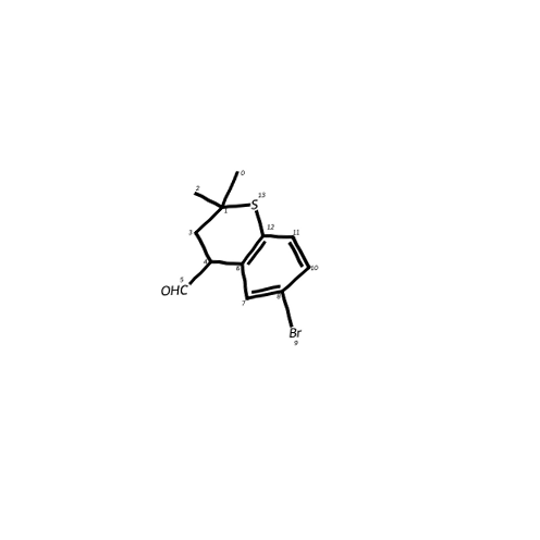 CC1(C)CC(C=O)c2cc(Br)ccc2S1